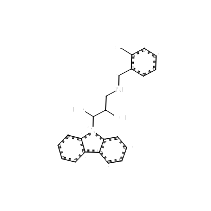 OC(CNCc1ccccc1Cl)C(O)n1c2ccccc2c2ccccc21